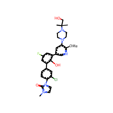 COc1ncc(-c2cc(F)cc(-c3ccc(-n4ccn(C)c4=O)c(Cl)c3)c2O)cc1N1CCN(C(C)(C)CO)CC1